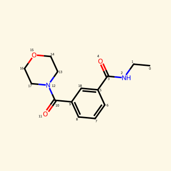 CCNC(=O)c1cccc(C(=O)N2CCOCC2)c1